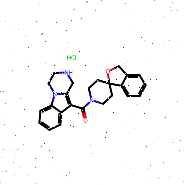 Cl.O=C(c1c2n(c3ccccc13)CCNC2)N1CCC2(CC1)OCc1ccccc12